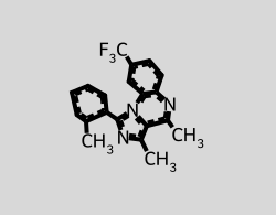 Cc1ccccc1-c1nc(C)c2c(C)nc3ccc(C(F)(F)F)cc3n12